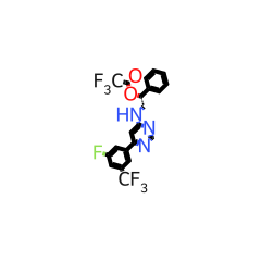 O=C(O[C@@H](CNc1cc(-c2cc(F)cc(C(F)(F)F)c2)ncn1)c1ccccc1)C(F)(F)F